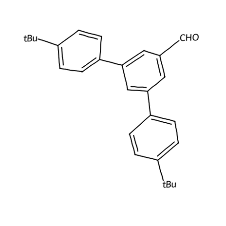 CC(C)(C)c1ccc(-c2cc(C=O)cc(-c3ccc(C(C)(C)C)cc3)c2)cc1